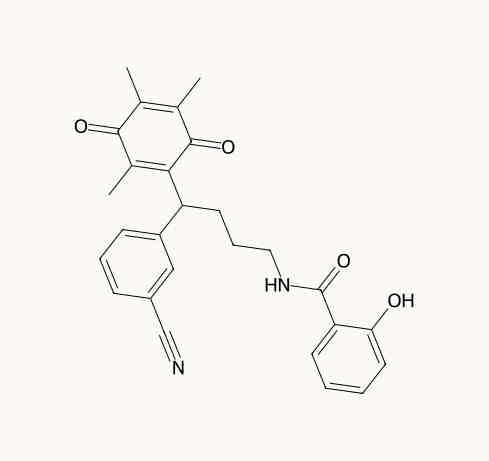 CC1=C(C)C(=O)C(C(CCCNC(=O)c2ccccc2O)c2cccc(C#N)c2)=C(C)C1=O